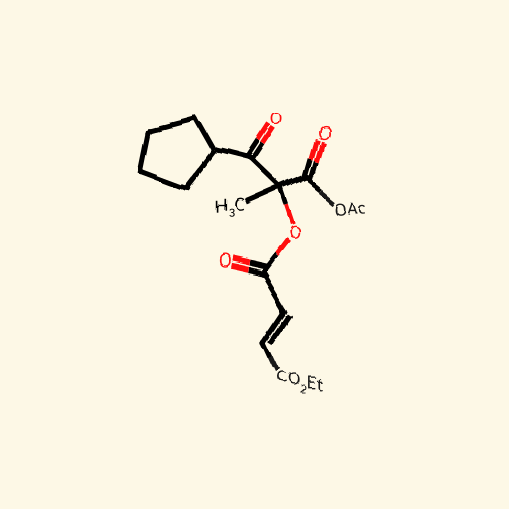 CCOC(=O)C=CC(=O)OC(C)(C(=O)OC(C)=O)C(=O)C1CCCC1